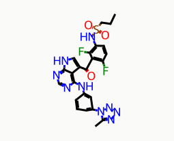 CCCS(=O)(=O)Nc1ccc(F)c(C(=O)c2c[nH]c3ncnc(Nc4cccc(-n5nnnc5C)c4)c23)c1F